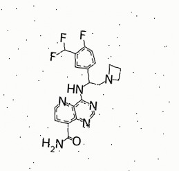 NC(=O)c1ccnc2c(NC(CN3CCC3)c3ccc(F)c(C(F)F)c3)ncnc12